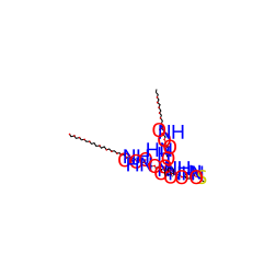 CCCCCCCCCCCCCCCCCCCCCCCC(=O)NCCOCCC(=O)NCCOCCC(=O)NC[C@H](NC(=O)CCOCCNC(=O)CCOCCNC(=O)CCCCCCCCCCCCCCC)C(=O)NCCOc1ccc(-c2nnc(SC(C)C)o2)cc1